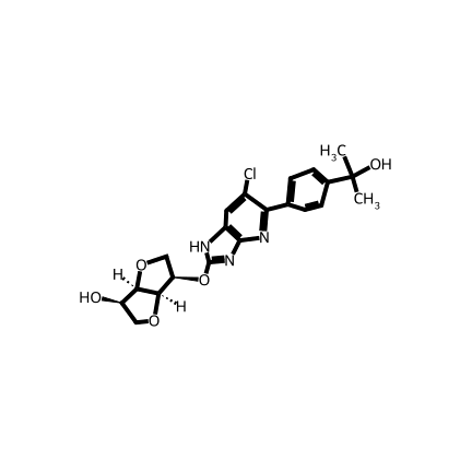 CC(C)(O)c1ccc(-c2nc3nc(O[C@@H]4CO[C@H]5[C@@H]4OC[C@H]5O)[nH]c3cc2Cl)cc1